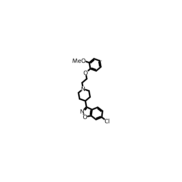 COc1c[c]ccc1OCCN1CCC(c2noc3cc(Cl)ccc23)CC1